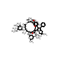 CC[C@H]1OC(=O)[C@H](C)[C@@H](O[C@H]2C[C@@](C)(OC)[C@@H](O)[C@H](C)O2)[C@H](C)[C@@H](O[C@@H]2O[C@H](C)C[C@H](N(C)C)[C@H]2OC(=O)Cc2c(-c3ccc(Cl)cc3)c(-c3ccccc3)c3n2CC(C)(C)C3)[C@](C)(O)C[C@@H](C)CN(C)[C@H](C)[C@@H](O)[C@]1(C)O